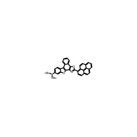 CCCCN(CCCC)c1ccc2c(c1)oc1c3nc(-c4ccc5ccc6cccc7ccc4c5c67)oc3c3ccccc3c21